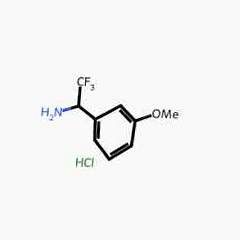 COc1cccc(C(N)C(F)(F)F)c1.Cl